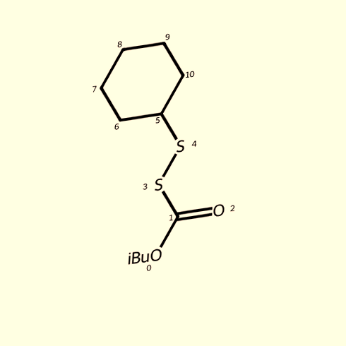 CC(C)COC(=O)SSC1CCCCC1